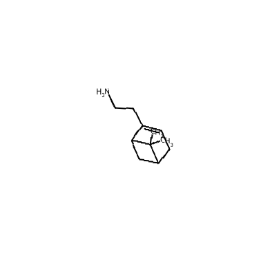 CC1(C)C2CC=C(CCN)C1C2